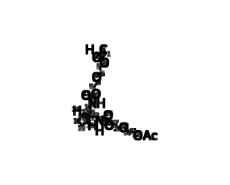 C=CC(=O)OCCOCCOC(=O)NCCC1[C@H]2CC[C@@H]1C(CNC(=O)OCCOCCOC(C)=O)C2